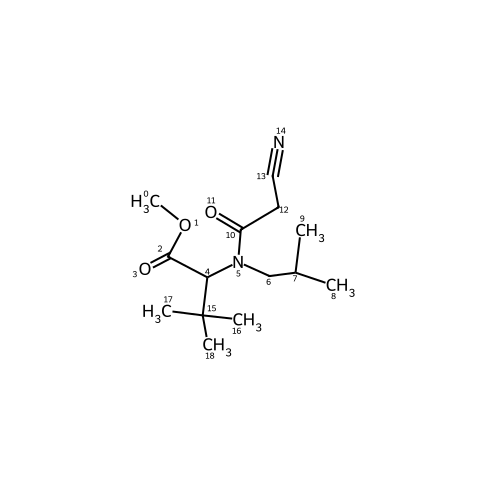 COC(=O)C(N(CC(C)C)C(=O)CC#N)C(C)(C)C